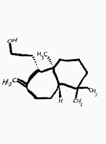 C=C1CC[C@H]2C(C)(C)CCC[C@]2(C)[C@H]1CCO